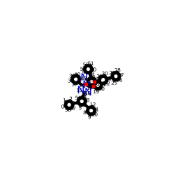 c1ccc(-c2cc(-c3ccccc3)cc(-c3nc(-c4ccc5cc(-c6ccccc6)ccc5c4)nc(-c4ccccc4-n4c5ccccc5c5ccccc54)n3)c2)cc1